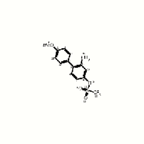 COc1ccc(-c2ccc(OS(=O)(=O)C(F)(F)F)cc2C)cc1